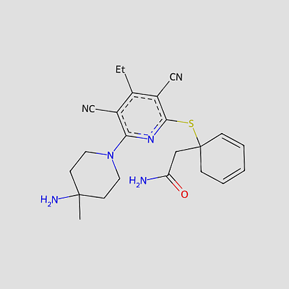 CCc1c(C#N)c(SC2(CC(N)=O)C=CC=CC2)nc(N2CCC(C)(N)CC2)c1C#N